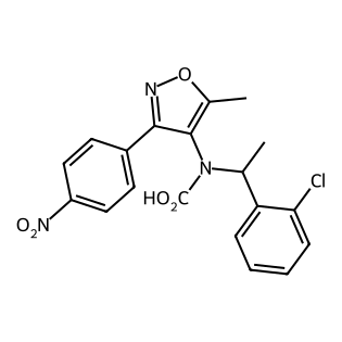 Cc1onc(-c2ccc([N+](=O)[O-])cc2)c1N(C(=O)O)C(C)c1ccccc1Cl